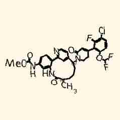 COC(=O)Nc1ccc2c(c1)NC(=O)[C@H](C)CCC[C@H](N1CCC(c3c(OC(F)F)ccc(Cl)c3F)=CC1=O)c1ccnc-2c1